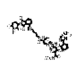 CNC(=O)c1nnc(Nc2ccc(C(=O)NCCCCNc3cccc4c3C(=O)N(C3CCC(=O)NC3=O)C4=O)cn2)cc1Nc1cccc(-c2ncn(C)n2)c1OC